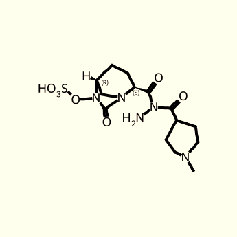 CN1CCC(C(=O)N(N)C(=O)[C@@H]2CC[C@@H]3CN2C(=O)N3OS(=O)(=O)O)CC1